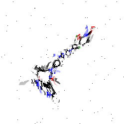 Cc1cc2cc(n1)-c1cnn(C)c1OCC[C@H]1C[C@@H]1CN1/C(=N/C2=O)Nc2ccc(NC3CN(C4CCN(c5cc(F)c([C@H]6CCC(=O)NC6=O)c(F)c5)CC4)C3)cc21